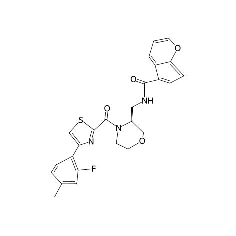 Cc1ccc(-c2csc(C(=O)N3CCOC[C@@H]3CNC(=O)c3ccc4occcc3-4)n2)c(F)c1